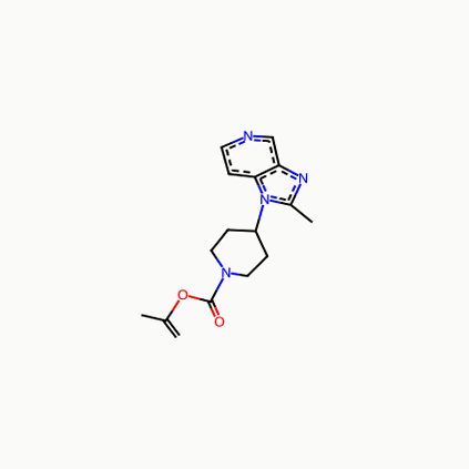 C=C(C)OC(=O)N1CCC(n2c(C)nc3cnccc32)CC1